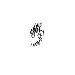 CC1(Oc2ncnc3c2nc(-c2ccc(OCCN4CCNCC4)cc2Cl)n3Cc2ncccc2Cl)CC1